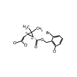 CC1(C)[C@H](C=C(Cl)Cl)[C@H]1C(=O)OCc1c(Cl)cccc1Br